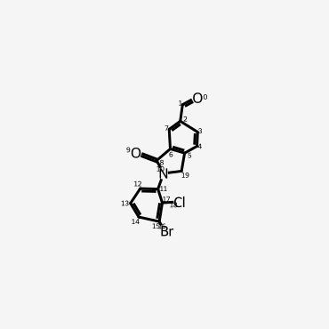 O=Cc1ccc2c(c1)C(=O)N(c1cccc(Br)c1Cl)C2